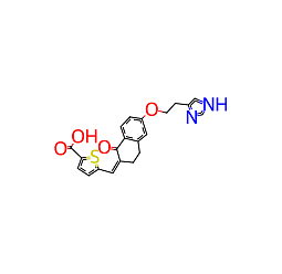 O=C(O)c1ccc(C=C2CCc3cc(OCCc4c[nH]cn4)ccc3C2=O)s1